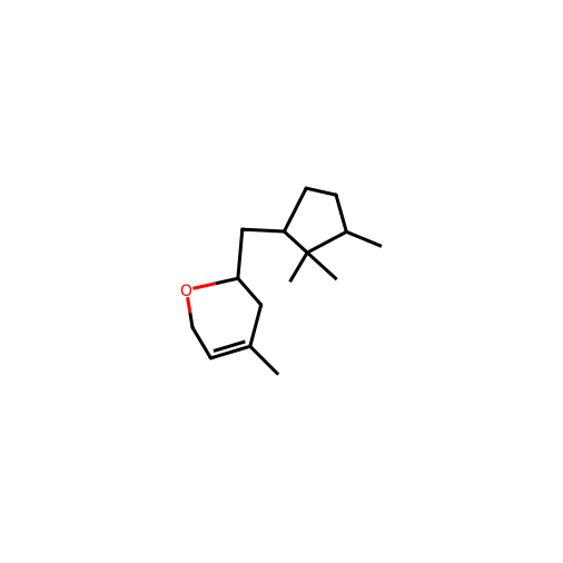 CC1=CCOC(CC2CCC(C)C2(C)C)C1